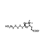 C[N+](C)(C)C(CCC(=O)[O-])OC(=O)CCCCCC(=O)O